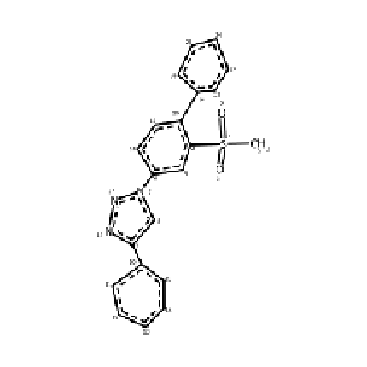 CS(=O)(=O)c1cc(-n2cc(-c3ccccc3)nn2)ccc1-c1ccccc1